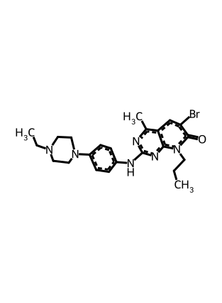 CCCn1c(=O)c(Br)cc2c(C)nc(Nc3ccc(N4CCN(CC)CC4)cc3)nc21